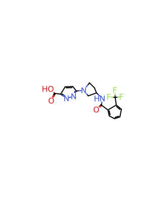 O=C(O)c1ccc(N2CCC(NC(=O)c3ccccc3C(F)(F)F)C2)nn1